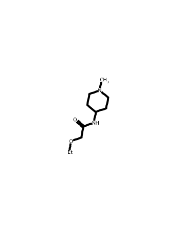 CCOCC(=O)NC1CCN(C)CC1